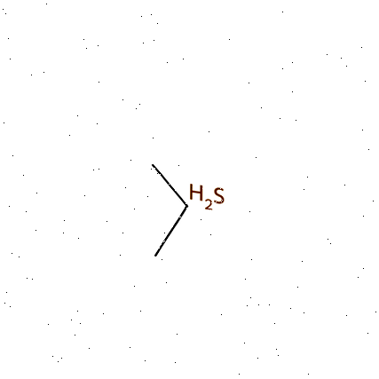 CCC.S